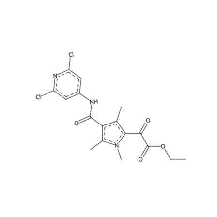 CCOC(=O)C(=O)c1c(C)c(C(=O)Nc2cc(Cl)nc(Cl)c2)c(C)n1C